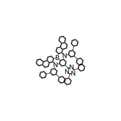 c1ccc(-c2cc(-c3ccccc3)cc(N3c4cc(-c5nc(-c6ccccc6)nc(-c6ccccc6)n5)cc5c4B(c4ccc6c(ccc7ccccc76)c43)c3ccc4c(ccc6ccccc64)c3N5c3cc(-c4ccccc4)cc(-c4ccccc4)c3)c2)cc1